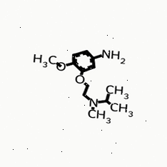 COc1ccc(N)cc1OCCN(C)C(C)C